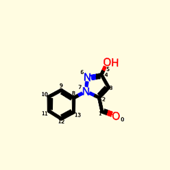 O=Cc1cc(O)nn1-c1ccccc1